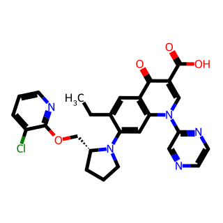 CCc1cc2c(=O)c(C(=O)O)cn(-c3cnccn3)c2cc1N1CCC[C@@H]1COc1ncccc1Cl